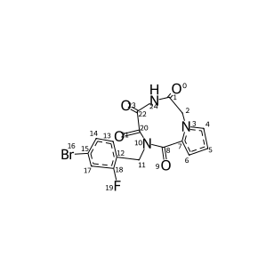 O=C1Cn2cccc2C(=O)N(Cc2ccc(Br)cc2F)C(=O)C(=O)N1